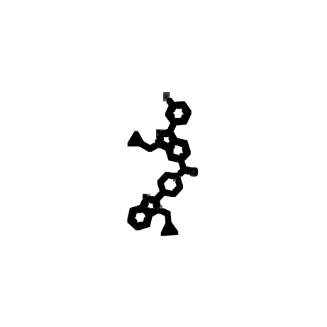 O=C(c1ccc2c(-c3cccc(F)c3)nn(CC3CC3)c2c1)N1CCC(c2nc3ccccc3n2CC2CC2)CC1